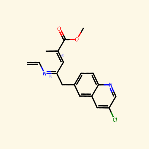 C=C/N=C(\C=C(/C)C(=O)OC)Cc1ccc2ncc(Cl)cc2c1